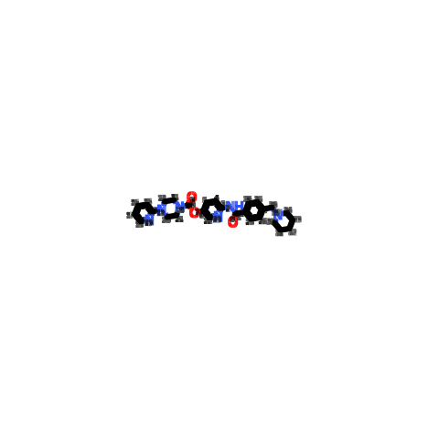 O=C(Nc1ccc(OC(=O)N2CCN(c3ccccn3)CC2)cn1)c1ccc(CN2CCCCC2)cc1